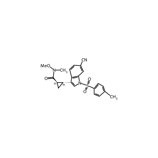 CON(C)C(=O)[C@@H]1C[C@H]1c1cn(S(=O)(=O)c2ccc(C)cc2)c2cc(C#N)ccc12